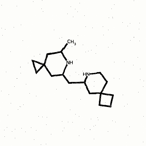 CC1CC2(CC2)CC(CC2CC3(CCC3)CCN2)N1